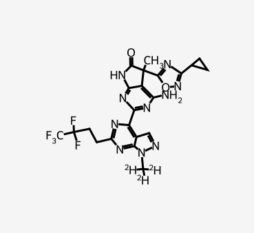 [2H]C([2H])([2H])n1ncc2c(-c3nc(N)c4c(n3)NC(=O)C4(C)c3nc(C4CC4)no3)nc(CCC(F)(F)C(F)(F)F)nc21